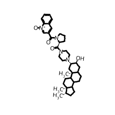 C[C@H]1CCC2C3CCC4C[C@H](O)[C@@H](N5CCN(C(=O)[C@@H]6CCCN6C(=O)c6cc7ccccc7[n+]([O-])c6)CC5)C[C@]4(C)C3CC[C@@]21C